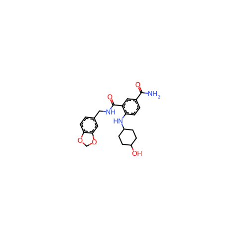 NC(=O)c1ccc(NC2CCC(O)CC2)c(C(=O)NCc2ccc3c(c2)OCO3)c1